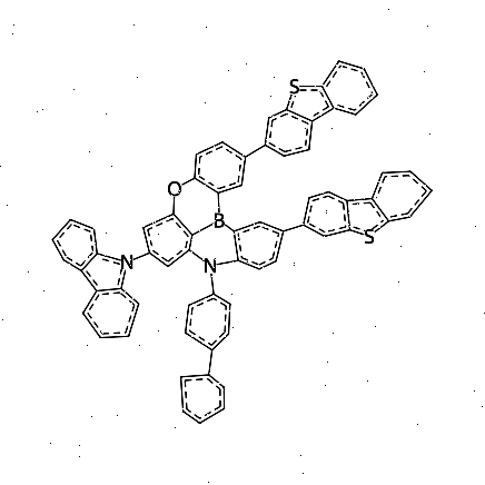 c1ccc(-c2ccc(N3c4ccc(-c5ccc6c(c5)sc5ccccc56)cc4B4c5cc(-c6ccc7c(c6)sc6ccccc67)ccc5Oc5cc(-n6c7ccccc7c7ccccc76)cc3c54)cc2)cc1